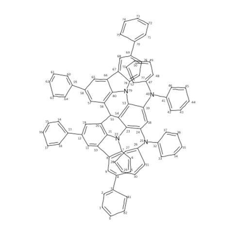 c1ccc(-c2ccc3c(c2)c2cc(-c4ccccc4)cc4c2n3-c2c(N(c3ccccc3)c3ccccc3)cc(N(c3ccccc3)c3ccccc3)c3c2C4c2cc(-c4ccccc4)cc4c5cc(-c6ccccc6)ccc5n-3c24)cc1